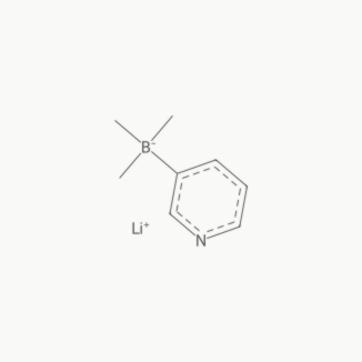 C[B-](C)(C)c1cccnc1.[Li+]